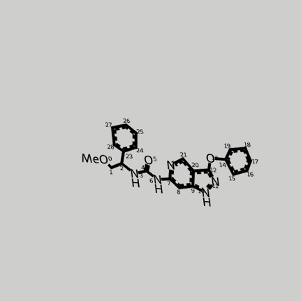 COCC(NC(=O)Nc1cc2[nH]nc(Oc3ccccc3)c2cn1)c1ccccc1